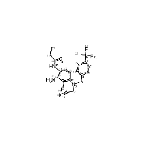 C#CCN(Cc1ccc(C(F)(F)F)cc1)c1ccc(NC(=O)CI)c(N)c1F